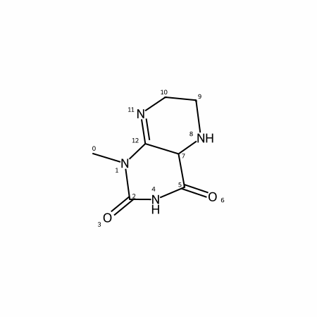 CN1C(=O)NC(=O)C2NCCN=C21